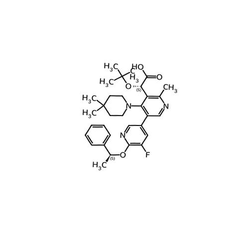 Cc1ncc(-c2cnc(O[C@@H](C)c3ccccc3)c(F)c2)c(N2CCC(C)(C)CC2)c1[C@H](OC(C)(C)C)C(=O)O